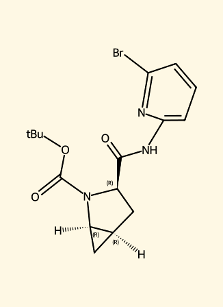 CC(C)(C)OC(=O)N1[C@@H](C(=O)Nc2cccc(Br)n2)C[C@H]2C[C@H]21